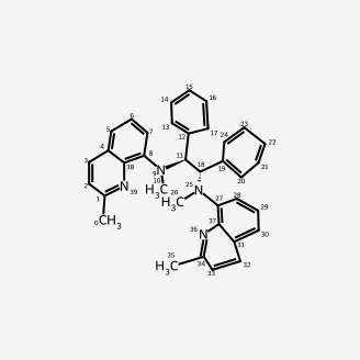 Cc1ccc2cccc(N(C)[C@@H](c3ccccc3)[C@H](c3ccccc3)N(C)c3cccc4ccc(C)nc34)c2n1